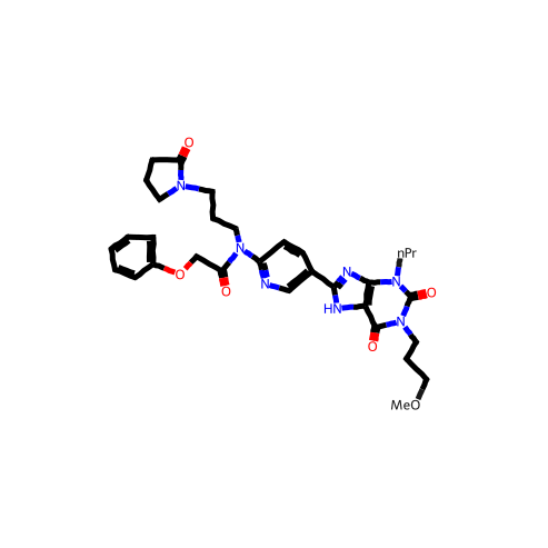 CCCn1c(=O)n(CCCOC)c(=O)c2[nH]c(-c3ccc(N(CCCN4CCCC4=O)C(=O)COc4ccccc4)nc3)nc21